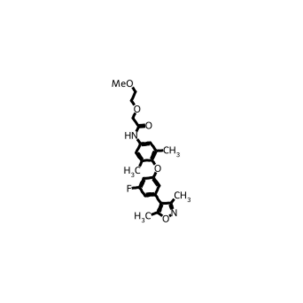 COCCOCC(=O)Nc1cc(C)c(Oc2cc(F)cc(-c3c(C)noc3C)c2)c(C)c1